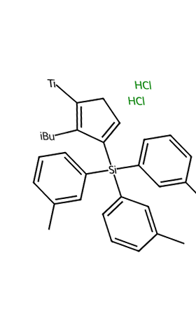 CCC(C)C1=[C]([Ti])CC=C1[Si](c1cccc(C)c1)(c1cccc(C)c1)c1cccc(C)c1.Cl.Cl.Cl